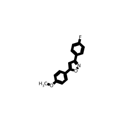 COc1ccc(-c2cc(-c3ccc(F)cc3)no2)cc1